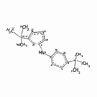 CC(C)(C)c1ccc(Nc2cccc(C(C)(C)C)c2)cc1